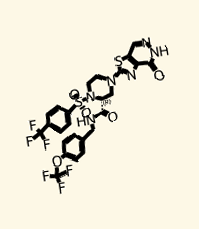 O=C(NCc1ccc(OC(F)(F)F)cc1)[C@H]1CN(c2nc3c(=O)[nH]ncc3s2)CCN1S(=O)(=O)c1ccc(C(F)(F)F)cc1